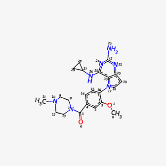 COc1cc(C(=O)N2CCN(C)CC2)ccc1-n1ccc2nc(N)nc(NC3CC3)c21